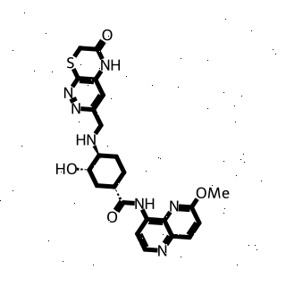 COc1ccc2nccc(NC(=O)[C@H]3CC[C@H](NCc4cc5c(nn4)SCC(=O)N5)[C@@H](O)C3)c2n1